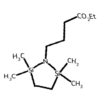 CCOC(=O)CCCN1[Si](C)(C)CC[Si]1(C)C